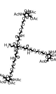 CC(=O)NC1[C@H](OCCOCCOCCNC(=O)CCOCC(COCCC(=O)NCCOCCOCCO[C@@H]2OC(COC(C)=O)[C@H](OC(C)=O)[C@H](OC(C)=O)C2NC(C)=O)(COCCC(=O)NCCOCCOCCO[C@@H]2OC(COC(C)=O)[C@H](OC(C)=O)[C@H](OC(C)=O)C2NC(C)=O)NC(=O)CN)OC(COC(C)=O)[C@H](OC(C)=O)[C@@H]1OC(C)=O